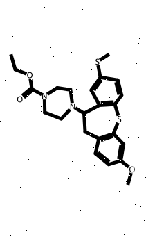 CCOC(=O)N1CCN(C2Cc3ccc(OC)cc3Sc3ccc(SC)cc32)CC1